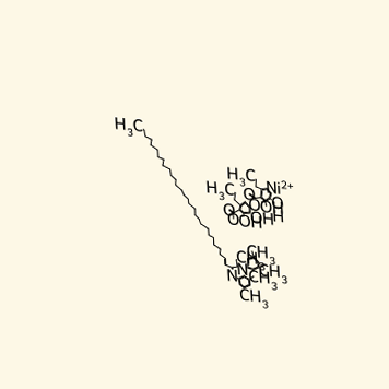 CCCCCCCCCCCCCCCCCCCCCCCCCCCC=CC(=Nc1cc(C)cc(C)c1)C(CC)=Nc1cc(C)cc(C)c1.CCCc1ccc(O)c(O)c1C(=O)[O-].CCCc1ccc(O)c(O)c1C(=O)[O-].[Ni+2]